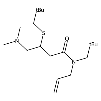 C=CCN(CC(C)(C)C)C(=O)CC(CN(C)C)SCC(C)(C)C